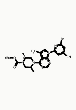 CC1CN(C(=O)OC(C)(C)C)[C@@H](C)CN1c1ncnc2c1c(C(F)(F)F)cn2-c1cc(C#N)cc(Br)n1